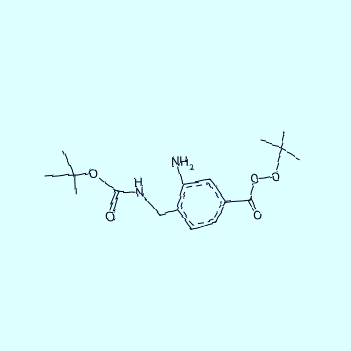 CC(C)(C)OOC(=O)c1ccc(CNC(=O)OC(C)(C)C)c(N)c1